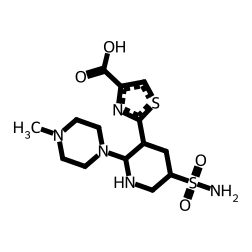 CN1CCN(C2NCC(S(N)(=O)=O)CC2c2nc(C(=O)O)cs2)CC1